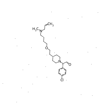 C=CCN(C)CCCCOCCC1CCN(C(C=O)c2ccc(Cl)cc2)CC1